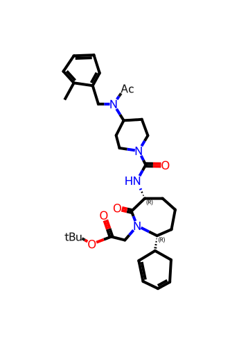 CC(=O)N(Cc1ccccc1C)C1CCN(C(=O)N[C@@H]2CCC[C@H](C3C=CC=CC3)N(CC(=O)OC(C)(C)C)C2=O)CC1